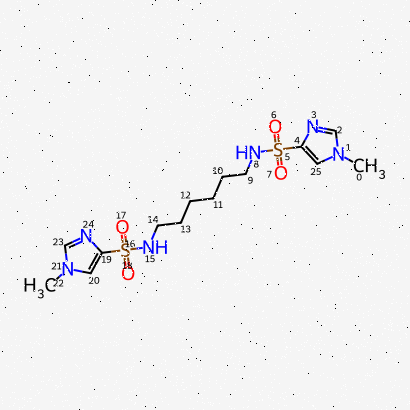 Cn1cnc(S(=O)(=O)NCCCCCCNS(=O)(=O)c2cn(C)cn2)c1